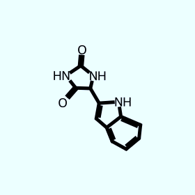 O=C1NC(=O)C(c2cc3ccccc3[nH]2)N1